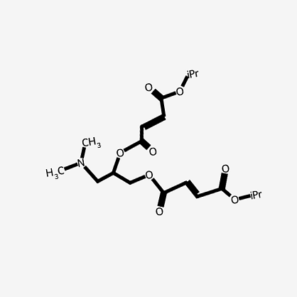 CC(C)OC(=O)/C=C/C(=O)OCC(CN(C)C)OC(=O)/C=C/C(=O)OC(C)C